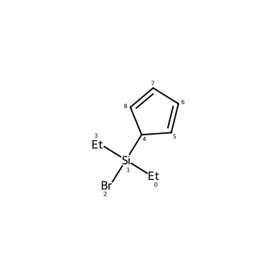 CC[Si](Br)(CC)C1C=CC=C1